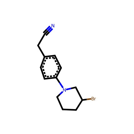 N#CCc1ccc(N2CCCC(Br)C2)cc1